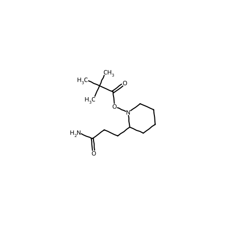 CC(C)(C)C(=O)ON1CCCCC1CCC(N)=O